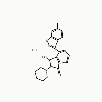 Cl.O=C1c2cccc(-c3nsc4cc(F)ccc34)c2C(O)N1N1CCCCC1